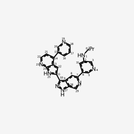 CC(C)Nc1cncc(-c2cc3c(-c4cc5c(-c6cccnc6)ccnc5[nH]4)n[nH]c3cn2)c1